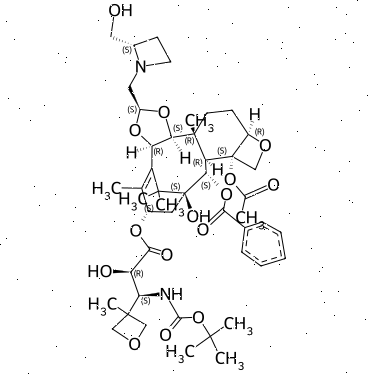 CC(=O)O[C@@]12CO[C@@H]1CC[C@@]1(C)[C@@H]3O[C@H](CN4CC[C@H]4CO)O[C@@H]3C3=C(C)[C@@H](OC(=O)[C@H](O)[C@@H](NC(=O)OC(C)(C)C)C4(C)COC4)C[C@@](O)([C@@H](OC(=O)c4ccccc4)[C@@H]12)C3(C)C